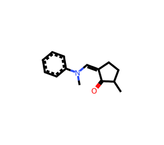 CC1CCC(=CN(C)c2ccccc2)C1=O